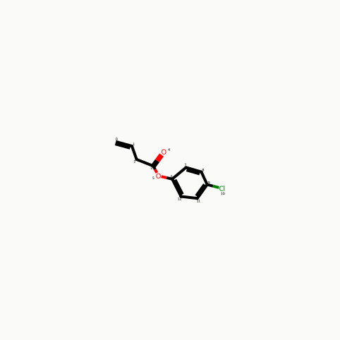 C=CCC(=O)Oc1ccc(Cl)cc1